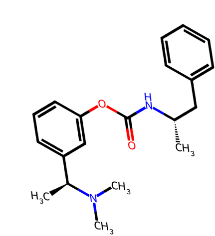 C[C@@H](Cc1ccccc1)NC(=O)Oc1cccc([C@H](C)N(C)C)c1